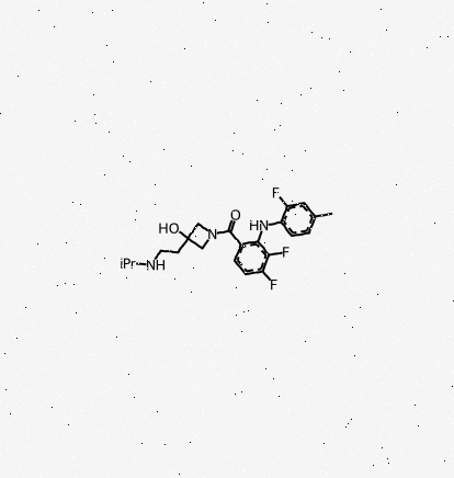 Cc1ccc(Nc2c(C(=O)N3CC(O)(CCNC(C)C)C3)ccc(F)c2F)c(F)c1